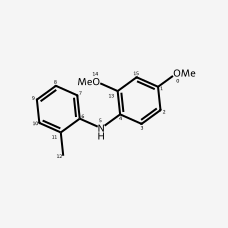 COc1ccc(Nc2ccccc2C)c(OC)c1